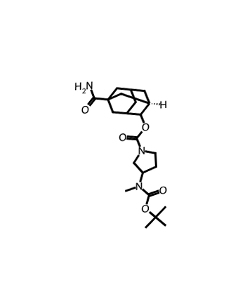 CN(C(=O)OC(C)(C)C)C1CCN(C(=O)OC2C3CC4C[C@@H]2CC(C(N)=O)(C4)C3)C1